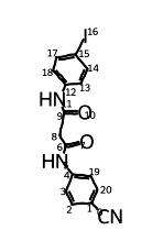 N#Cc1ccc(NC(=O)CC(=O)Nc2ccc(I)cc2)cc1